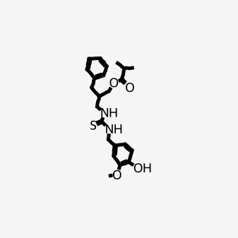 COc1cc(CNC(=S)NCC(COC(=O)C(C)C)Cc2ccccc2)ccc1O